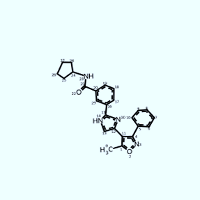 Cc1onc(-c2ccccc2)c1-c1c[nH]c(-c2cccc(C(=O)NC3CCCC3)c2)n1